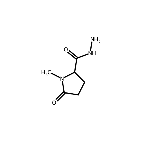 CN1C(=O)CCC1C(=O)NN